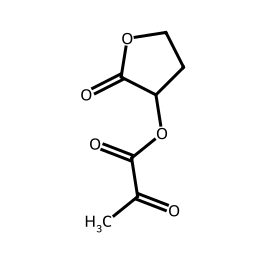 CC(=O)C(=O)OC1CCOC1=O